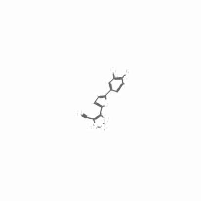 N#Cc1[nH]nnc1-c1ccc(-c2ccc(F)c(Cl)c2)s1